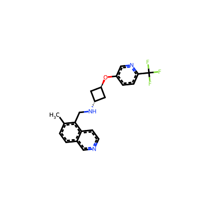 Cc1ccc2cnccc2c1CN[C@H]1C[C@H](Oc2ccc(C(F)(F)F)nc2)C1